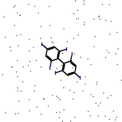 Ic1cc(I)c(-c2c(I)cc(I)cc2I)c(I)c1